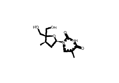 Cc1cn([C@H]2C[C@@H](C)C(CO)(CO)O2)c(=O)[nH]c1=O